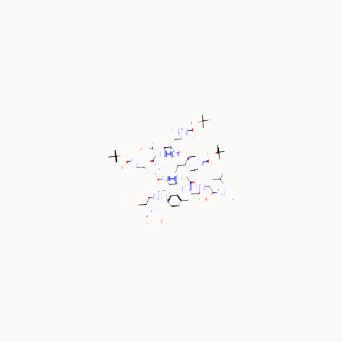 CCCC(C)ON[C@@H](CCNC(=O)OC(C)(C)C)C(=O)N[C@H](C(=O)N[C@@H](CCCNC(=O)OC(C)(C)C)C(=O)N[C@@H](CCNC(=O)[C@@H](NCO)[C@H](C)O)CN[C@@H](CCNC(=O)OC(C)(C)C)C(=O)N[C@H](Cc1ccccc1)C(=O)N[C@@H](CC(C)C)C(N)=O)C(C)O